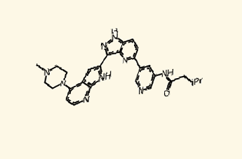 CC(C)CC(=O)Nc1cncc(-c2ccc3[nH]nc(-c4cc5c(N6CCN(C)CC6)ccnc5[nH]4)c3n2)c1